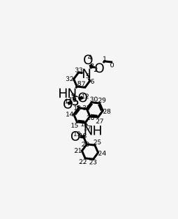 CCOC(=O)N1CCC(NS(=O)(=O)c2ccc(NC(=O)C3CCCCC3)c3ccccc23)CC1